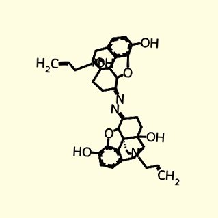 C=CCN1CC[C@]23c4c5ccc(O)c4OC2/C(=N/N=C2\CCC4(O)C6Cc7ccc(O)c8c7[C@@]4(CCN6CC=C)C2O8)CCC3(O)C1C5